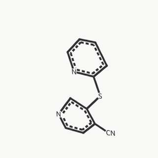 N#Cc1ccncc1Sc1ccccn1